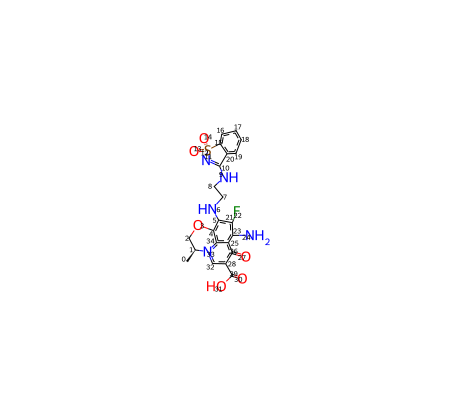 C[C@H]1COc2c(NCCNC3=NS(=O)(=O)c4ccccc43)c(F)c(N)c3c(=O)c(C(=O)O)cn1c23